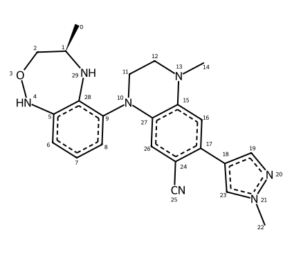 C[C@@H]1CONc2cccc(N3CCN(C)c4cc(-c5cnn(C)c5)c(C#N)cc43)c2N1